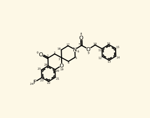 O=C1CC2(CCN(C(=O)OCc3ccccc3)CC2)Oc2ccc(F)cc21